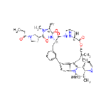 C=CC(=O)N1CCC(C(=O)N(C)[C@H](C(=O)N[C@H]2Cc3cccc(c3)-c3ccc4c(c3)c(c(-c3cccnc3[C@H](C)OC)n4CC)CC(C)(C)COC(=O)[C@@H]3CCCN(N3)C2=O)C(C)C)C1